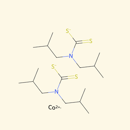 CC(C)CN(CC(C)C)C(=S)[S-].CC(C)CN(CC(C)C)C(=S)[S-].[Co+2]